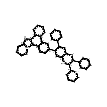 c1ccc(-c2cc3nc(-c4ccccc4)c(-c4ccccn4)nc3cc2-c2ccc3c(c2)c2ccccc2c2nc4ccccn4c32)cc1